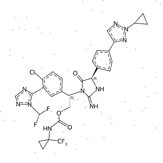 N=C1N[C@H](c2ccc(-c3cnn(C4CC4)n3)cc2)C(=O)N1[C@H](COC(=O)NC1(C(F)(F)F)CC1)c1ccc(Cl)c(-c2ncnn2C(F)F)c1